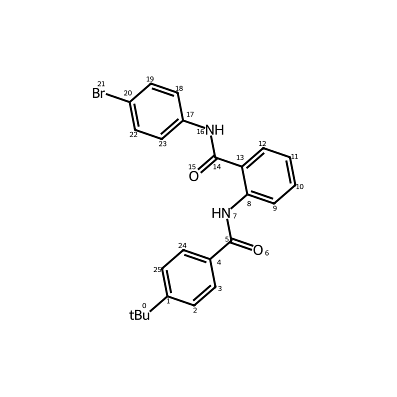 CC(C)(C)c1ccc(C(=O)Nc2ccccc2C(=O)Nc2ccc(Br)cc2)cc1